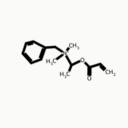 C=CC(=O)OC(C)[N+](C)(C)Cc1ccccc1